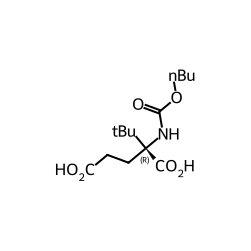 CCCCOC(=O)N[C@@](CCC(=O)O)(C(=O)O)C(C)(C)C